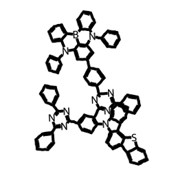 c1ccc(-c2nc(-c3ccccc3)nc(-c3ccc(-n4c5ccccc5c5c6sc7ccccc7c6ccc54)c(-c4nc(-c5ccccc5)nc(-c5ccc(-c6cc7c8c(c6)N(c6ccccc6)c6ccccc6B8c6ccccc6N7c6ccccc6)cc5)n4)c3)n2)cc1